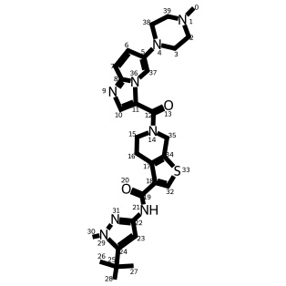 CN1CCN(c2ccc3ncc(C(=O)N4CCc5c(C(=O)Nc6cc(C(C)(C)C)n(C)n6)csc5C4)n3c2)CC1